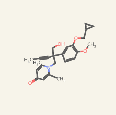 CC#CC(CO)(Cn1c(C)cc(=O)cc1C)c1ccc(OC)c(OCC2CC2)c1